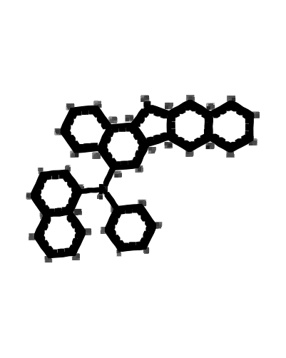 c1ccc(N(c2cccc3ccccc23)c2cc3c4cc5ccccc5cc4sc3c3ccccc23)cc1